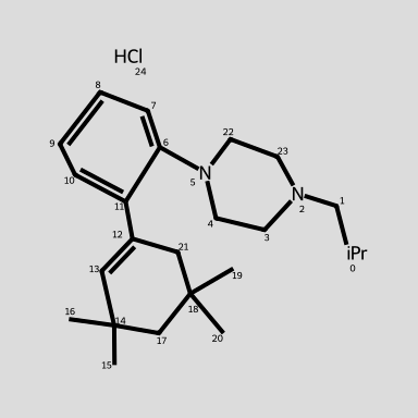 CC(C)CN1CCN(c2ccccc2C2=CC(C)(C)CC(C)(C)C2)CC1.Cl